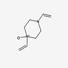 C=CN1CC[N+]([O-])(C=C)CC1